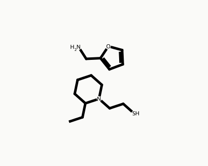 CCC1CCCCN1CCS.NCc1ccco1